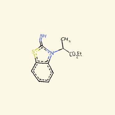 CCOC(=O)C(C)n1c(=N)sc2ccccc21